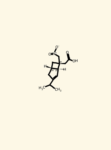 CC(C)C1=C[C@H]2[C@H](C1)C[C@]2(CC(=O)O)C[N+](=O)[O-]